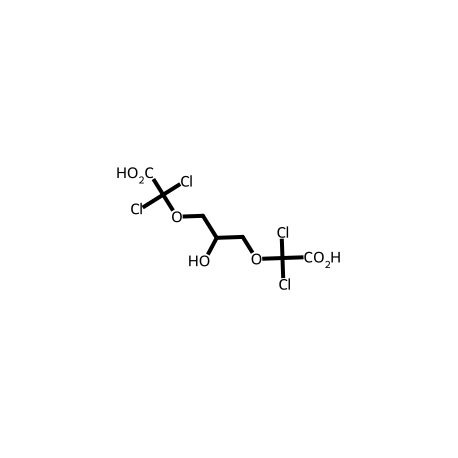 O=C(O)C(Cl)(Cl)OCC(O)COC(Cl)(Cl)C(=O)O